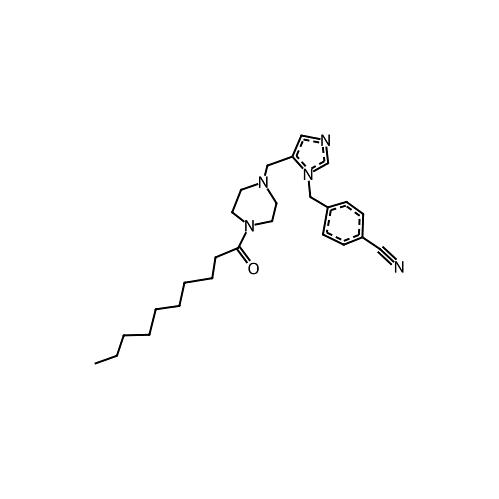 CCCCCCCCCC(=O)N1CCN(Cc2cncn2Cc2ccc(C#N)cc2)CC1